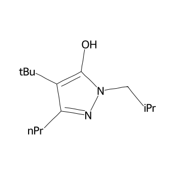 CCCc1nn(CC(C)C)c(O)c1C(C)(C)C